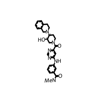 CNC(=O)c1cccc(Nc2cc(C(=O)N3CC[C@@H](N4CCc5ccccc5C4)[C@H](O)C3)ncn2)c1